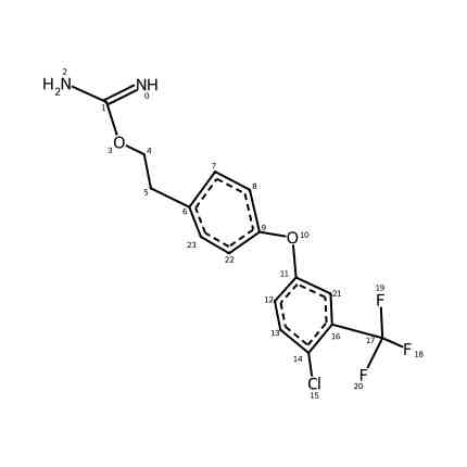 N=C(N)OCCc1ccc(Oc2ccc(Cl)c(C(F)(F)F)c2)cc1